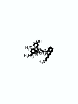 CCCCc1cc2ccccc2c(OCC[N+](C)(C)C[C@@]2(O)C(Cl)C(C(N)=O)C[C@H](C)C2N2CCC(O)CC2)n1